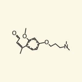 COc1cc(OCCCN(C)C)ccc1/C(C)=C\C=O